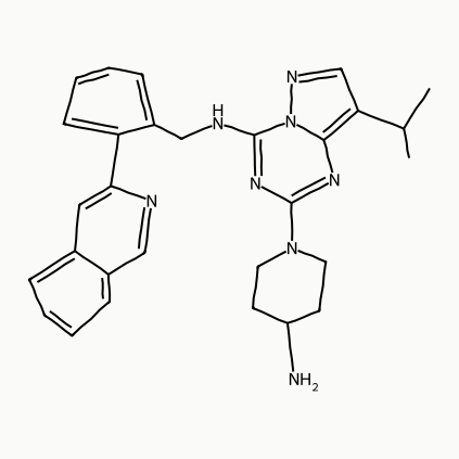 CC(C)c1cnn2c(NCc3ccccc3-c3cc4ccccc4cn3)nc(N3CCC(N)CC3)nc12